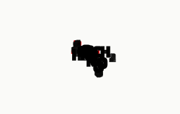 C=CCOC(=O)[C@H](Cc1nc2cc(C(=O)OCc3ccccc3)ccc2o1)NC(=O)OCC1c2ccccc2-c2ccccc21